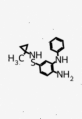 CC1(NSc2ccc(N)c(Nc3ccccc3)c2)CC1